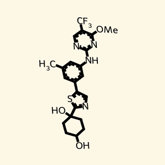 COc1nc(Nc2cc(C)cc(-c3cnc(C4(O)CCC(O)CC4)s3)c2)ncc1C(F)(F)F